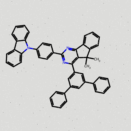 CC1(C)c2ccccc2-c2nc(-c3ccc(-n4c5ccccc5c5ccccc54)cc3)nc(-c3cc(-c4ccccc4)cc(-c4ccccc4)c3)c21